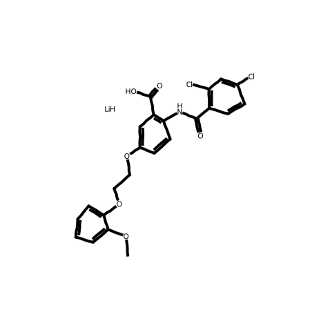 COc1ccccc1OCCOc1ccc(NC(=O)c2ccc(Cl)cc2Cl)c(C(=O)O)c1.[LiH]